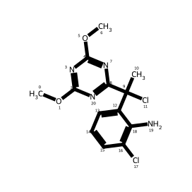 COc1nc(OC)nc(C(C)(Cl)c2cccc(Cl)c2N)n1